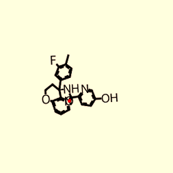 Cc1ccc([C@@]2(NC(=O)c3ccc(O)cn3)CCOc3cccnc32)cc1F